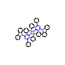 c1ccc(-c2nc(N3[Si](c4ccccc4)(c4ccccc4)N(c4nc(-c5ccccc5)nc(-n5c6ccccc6c6ccccc65)n4)[Si]3(c3ccccc3)c3ccccc3)nc(-n3c4ccccc4c4ccccc43)n2)cc1